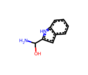 NC(O)c1cc2ccccc2[nH]1